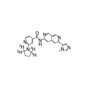 [2H]C1([2H])CCC([2H])([2H])N1c1cc(C(=O)Nc2cc3cc(-c4cncn4C)ncc3cn2)ccn1